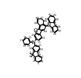 CC1(C)c2ccccc2-c2ccc(N(c3ccccc3)c3ccc4c(c3)oc3c5c(c(-n6c7ccccc7c7ccccc76)cc34)CCC=C5)cc21